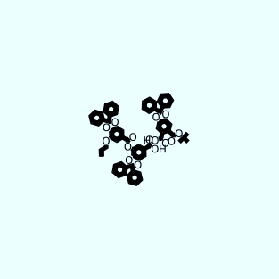 C=CCOc1cc(C(=O)Oc2cc(C(=O)O)cc3c2OC(c2ccccc2)(c2ccccc2)O3)cc2c1OC(c1ccccc1)(c1ccccc1)O2.CC(C)(C)OC(=O)c1cc2c(cc1C(=O)O)OC(c1ccccc1)(c1ccccc1)O2